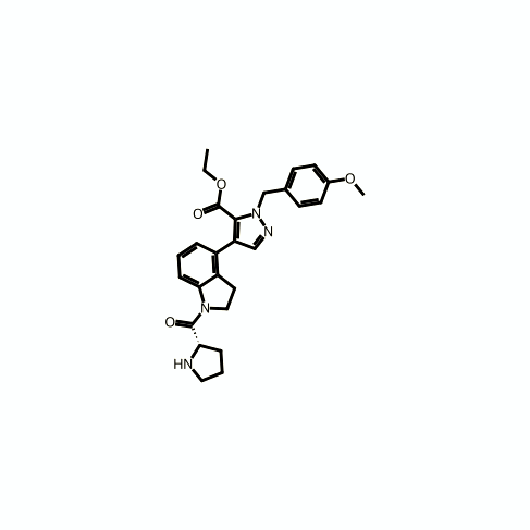 CCOC(=O)c1c(-c2cccc3c2CCN3C(=O)[C@@H]2CCCN2)cnn1Cc1ccc(OC)cc1